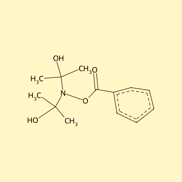 CC(C)(O)N(OC(=O)c1ccccc1)C(C)(C)O